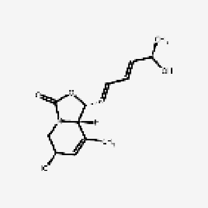 CC1=C[C@@H](O)CN2C(=O)O[C@H](/C=C/C=C/[C@@H](C)O)[C@H]12